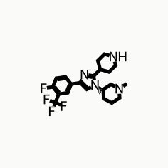 CN1CCC[C@@H](n2cc(-c3ccc(F)c(C(F)(F)F)c3)nc2C2CCNCC2)C1